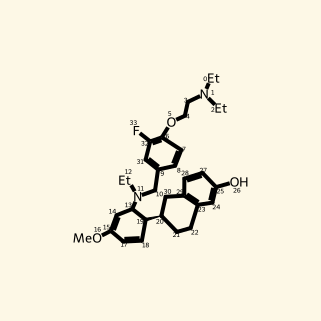 CCN(CC)CCOc1ccc(CN(CC)C2C=C(OC)C=CC2[C@@H]2CCc3cc(O)ccc3C2)cc1F